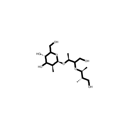 C[C@H](O[C@@H]1OC(CO)[C@@H](O)C(O)[C@@H]1C)C(CO)O[C@@H](C)[C@@H](C)CO